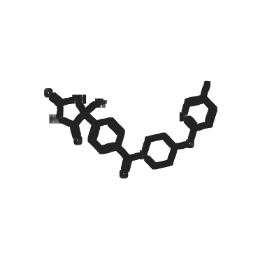 Cc1ccc(OC2CCN(C(=O)c3ccc(C4(C(C)C)NC(=O)NC4=O)cc3)CC2)nc1